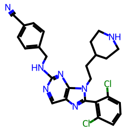 N#Cc1ccc(CNc2ncc3nc(-c4c(Cl)cccc4Cl)n(CCC4CCNCC4)c3n2)cc1